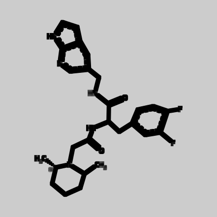 CC1CCC[C@H](C)N1CC(=O)NC(Cc1ccc(F)c(F)c1)C(=O)NCc1cnc2[nH]ccc2c1